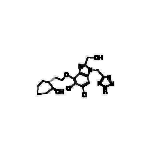 OCc1nc2c(OCC[C@H]3CCCC[C@@H]3O)c(Cl)c(Cl)cc2n1Cc1nn[nH]n1